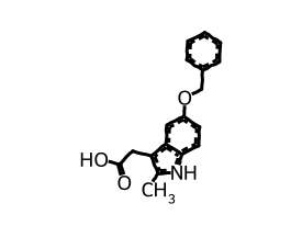 Cc1[nH]c2ccc(OCc3ccccc3)cc2c1CC(=O)O